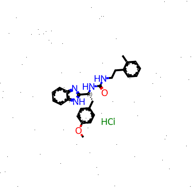 COc1ccc(C[C@@H](NC(=O)NCCc2ccccc2C)c2nc3ccccc3[nH]2)cc1.Cl